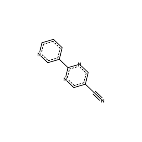 N#Cc1cnc(-c2cccnc2)nc1